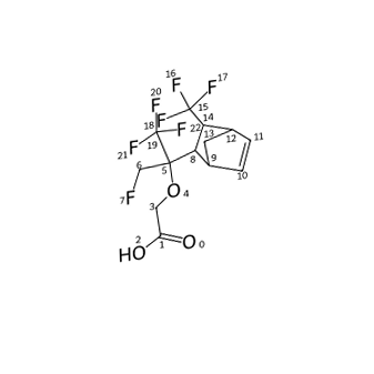 O=C(O)COC(CF)(C1C2C=CC(C2)C1C(F)(F)F)C(F)(F)F